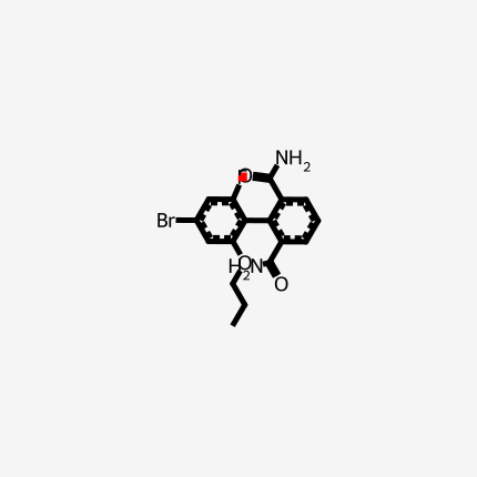 CCCOc1cc(Br)cc(F)c1-c1c(C(N)=O)cccc1C(N)=O